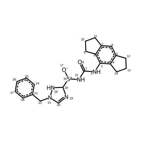 O=C(Nc1c2c(cc3c1CCC3)CCC2)N[S+]([O-])C1N=CN(Cc2ccccc2)N1